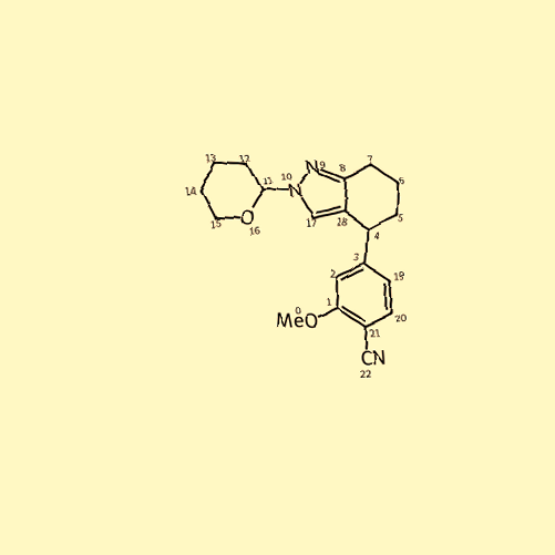 COc1cc(C2CCCc3nn(C4CCCCO4)cc32)ccc1C#N